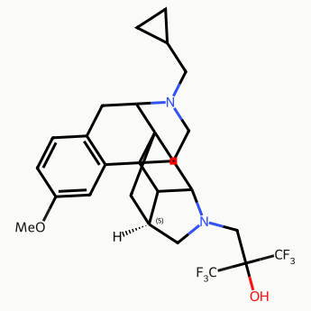 COc1ccc2c(c1)C13CCN(CC4CC4)C(C2)C12CCC1C3[C@@H](CN1CC(O)(C(F)(F)F)C(F)(F)F)C2